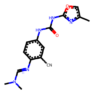 Cc1coc(NC(=O)Nc2ccc(/N=C/N(C)C)c(C#N)c2)n1